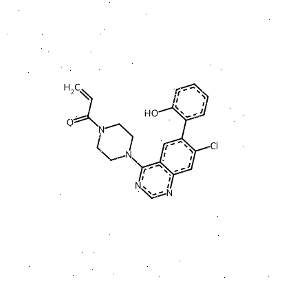 C=CC(=O)N1CCN(c2ncnc3cc(Cl)c(-c4ccccc4O)cc23)CC1